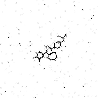 C=C(C1=C(N(C)C(/C=N\CC[C@H](CC)CCCC)=C/C)CCCCC1)c1cnc(CC)c(F)c1